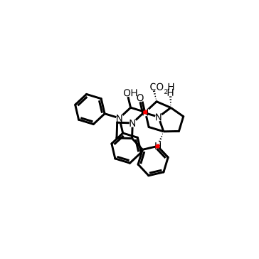 O=C(O)[C@@H]1[C@H]2CC[C@@H](CN1C(O)N(c1ccccc1)c1ccccc1)N2C(=O)N1CCC1c1ccccc1